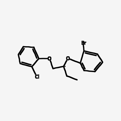 CC[C](COc1ccccc1Cl)Oc1ccccc1Br